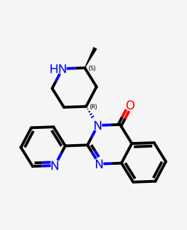 C[C@H]1C[C@H](n2c(-c3ccccn3)nc3ccccc3c2=O)CCN1